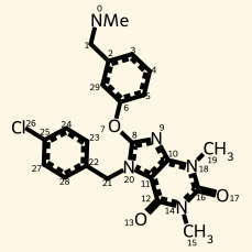 CNCc1cccc(Oc2nc3c(c(=O)n(C)c(=O)n3C)n2Cc2ccc(Cl)cc2)c1